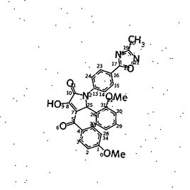 COc1ccc(C(=O)C2=C(O)C(=O)N(c3ccc(-c4nc(C)no4)cc3)C2c2ccccc2OC)cc1